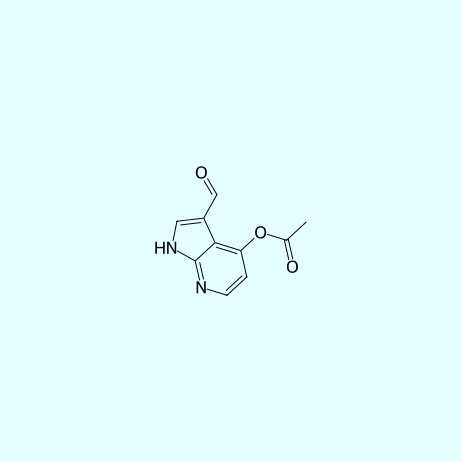 CC(=O)Oc1ccnc2[nH]cc(C=O)c12